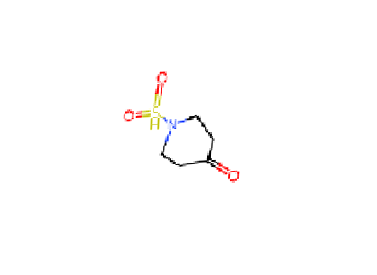 O=C1CCN([SH](=O)=O)CC1